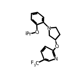 CC(C)Oc1ccccc1N1CC[C@@H](Oc2ccc(C(F)(F)F)cn2)C1